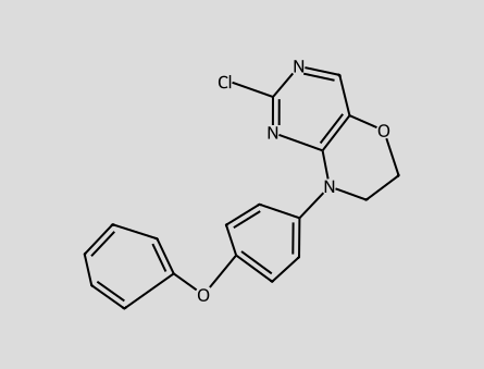 Clc1ncc2c(n1)N(c1ccc(Oc3ccccc3)cc1)CCO2